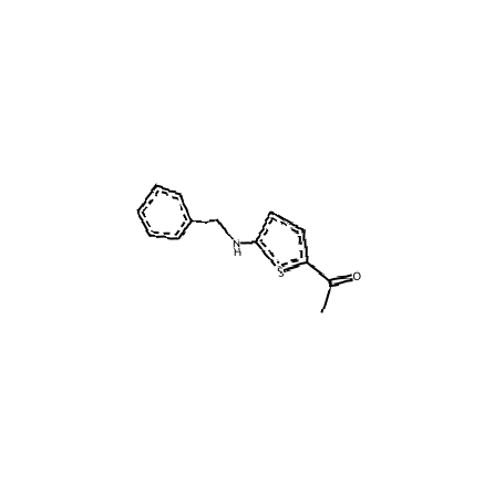 CC(=O)c1ccc(NCc2ccccc2)s1